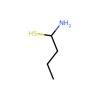 CCCC(N)S